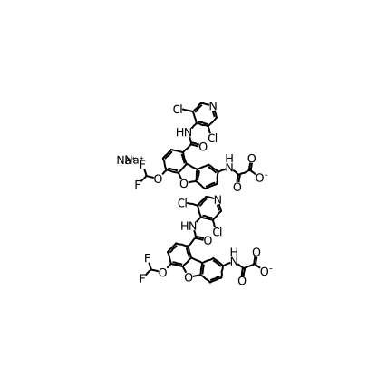 O=C([O-])C(=O)Nc1ccc2oc3c(OC(F)F)ccc(C(=O)Nc4c(Cl)cncc4Cl)c3c2c1.O=C([O-])C(=O)Nc1ccc2oc3c(OC(F)F)ccc(C(=O)Nc4c(Cl)cncc4Cl)c3c2c1.[Na+].[Na+]